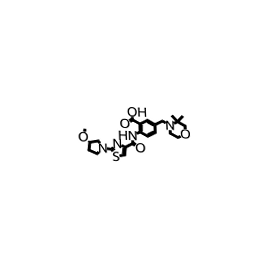 CO[C@H]1CCN(c2nc(C(=O)Nc3ccc(CN4CCOCC4(C)C)cc3C(=O)O)cs2)C1